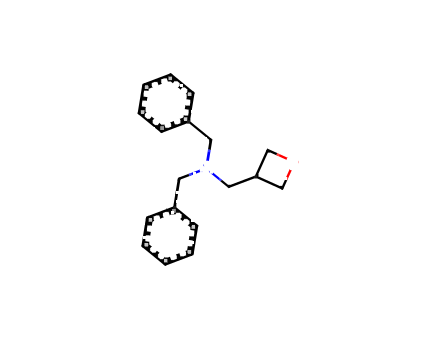 c1ccc(CN(Cc2ccccc2)CC2COC2)cc1